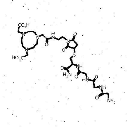 NCC(=O)NCC(=O)NCC(=O)NC(CSC1CC(=O)N(CCNC(=O)CN2CCN(CC(=O)O)CCN(CC(=O)O)CC2)C1=O)C(N)=O